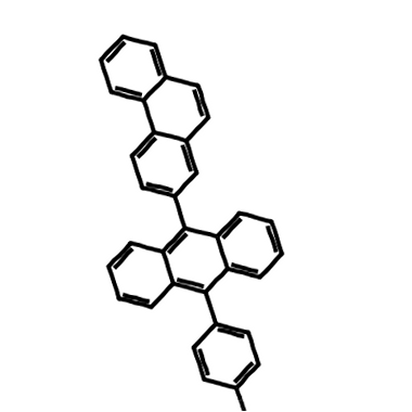 N#Cc1ccc(-c2c3ccccc3c(-c3ccc4c(ccc5ccccc54)c3)c3ccccc23)cc1